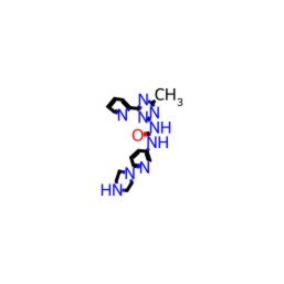 Cc1nc(NC(=O)Nc2ccc(N3CCNCC3)nc2)nc(-c2ccccn2)n1